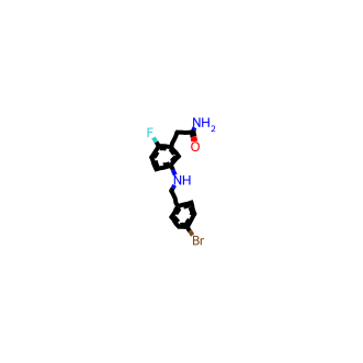 NC(=O)Cc1cc(NCc2ccc(Br)cc2)ccc1F